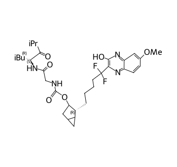 CC[C@@H](C)[C@H](NC(=O)CNC(=O)OC1CC2CC2[C@H]1CCCCC(F)(F)c1nc2ccc(OC)cc2nc1O)C(=O)C(C)C